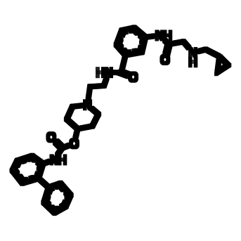 O=C(CNCC1CC1)Nc1cccc(C(=O)NCCN2CCC(OC(=O)Nc3ccccc3-c3ccccc3)CC2)c1